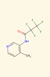 Cc1ccncc1NC(=O)C(F)(F)C(F)(F)F